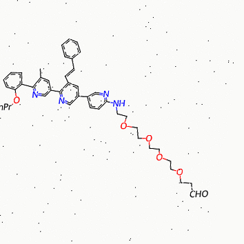 CCCOc1ccccc1-c1ncc(-c2ncc(-c3ccc(NCCOCCOCCOCCOCCC=O)nc3)cc2/C=C/c2ccccc2)cc1C